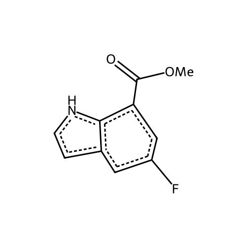 COC(=O)c1cc(F)cc2cc[nH]c12